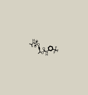 CC(C)NS(=O)(=O)OC#CC(C)OC(=O)Nc1cccc(C(F)(F)F)c1